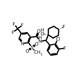 CS(=O)(=O)c1ncc(C(F)(F)F)cc1C(=O)NC(c1cccc(F)c1Cl)[C@]1(O)CC[C@@H](F)CC1